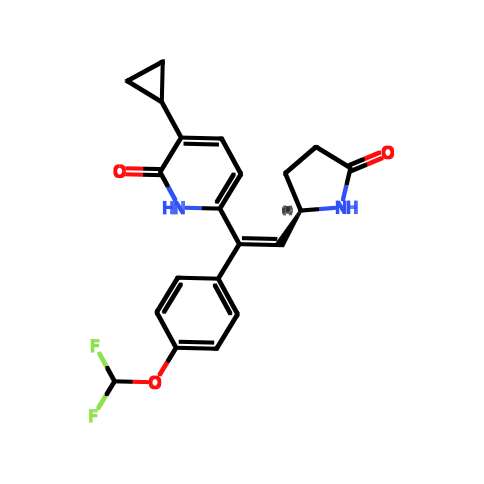 O=C1CC[C@H](C=C(c2ccc(OC(F)F)cc2)c2ccc(C3CC3)c(=O)[nH]2)N1